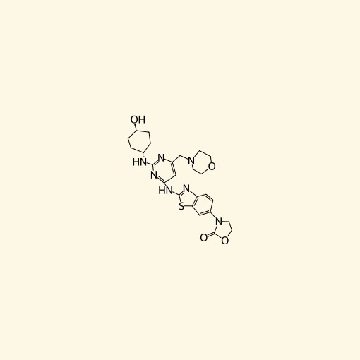 O=C1OCCN1c1ccc2nc(Nc3cc(CN4CCOCC4)nc(N[C@H]4CC[C@H](O)CC4)n3)sc2c1